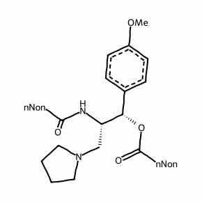 CCCCCCCCCC(=O)N[C@@H](CN1CCCC1)[C@@H](OC(=O)CCCCCCCCC)c1ccc(OC)cc1